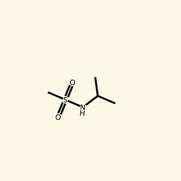 CC(C)NS(C)(=O)=O